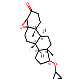 C[C@]12CC[C@H]3[C@@H](CCC45OC4C(=O)CC[C@]35C)[C@@H]1CC[C@@H]2OC1CC1